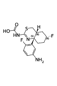 Nc1ccc(F)c([C@]23CC[C@@H](F)C[C@H]2CSC(NC(=O)O)=N3)c1